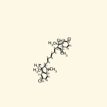 CN1/C(=C\C=CC=CC=CC2=[N+](C)C3C=CC(Cl)=CC3C2(C)C)C(C)(C)c2cc(Cl)ccc21